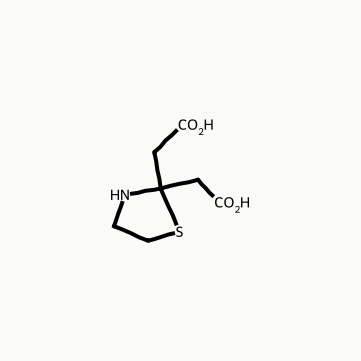 O=C(O)CC1(CC(=O)O)NCCS1